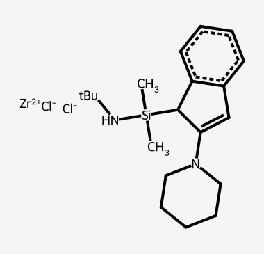 CC(C)(C)N[Si](C)(C)C1C(N2CCCCC2)=Cc2ccccc21.[Cl-].[Cl-].[Zr+2]